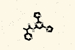 CC(C(=O)Nc1cc(-n2cccn2)nc(-c2cccs2)n1)c1cccnc1